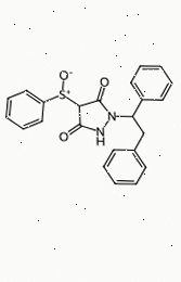 O=C1NN(C(Cc2ccccc2)c2ccccc2)C(=O)C1[S+]([O-])c1ccccc1